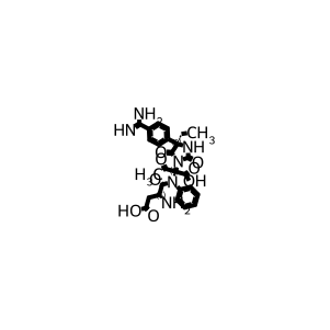 CC[C@]1(c2ccc(C(=N)N)cc2)NC(=O)N([C@@](C(C)=O)(C(=O)O)N(C(=O)[C@@H](N)CC(=O)O)c2ccccc2)C1=O